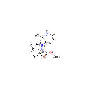 CC(C)(C)OC(=O)N[C@@H]1[C@@H]2CC[C@H]1CN(c1cccnc1[N+](=O)[O-])C2